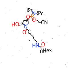 CCCCCCC(=O)NCCCCCC(=O)N1C[C@H](OP(OCCC#N)N(C(C)C)C(C)C)C[C@H]1CO